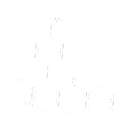 COc1ccc(-c2c3c(c[nH]c2=O)Sc2ccccc2N3)cc1